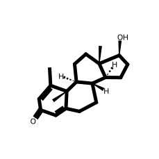 CC1=CC(=O)C=C2CC[C@@H]3[C@H](CC[C@]4(C)[C@@H](O)CC[C@@H]34)[C@@]12C